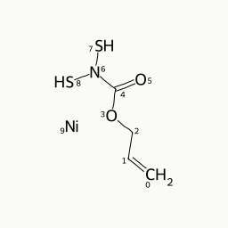 C=CCOC(=O)N(S)S.[Ni]